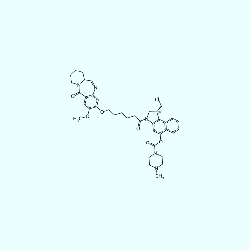 COc1cc2c(cc1OCCCCCC(=O)N1C[C@@H](CCl)c3c1cc(OC(=O)N1CCN(C)CC1)c1ccccc31)N=CC1CCCCN1C2=O